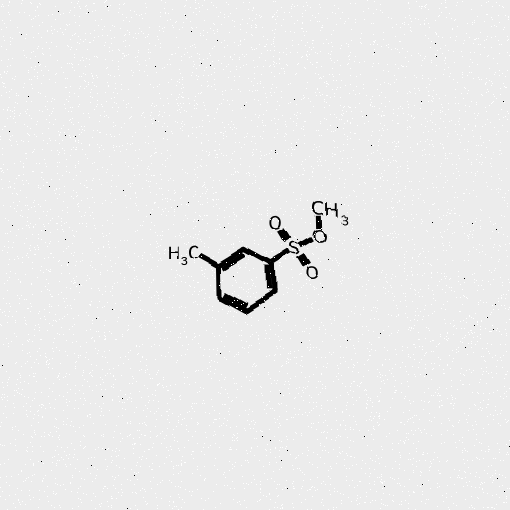 COS(=O)(=O)c1cccc(C)c1